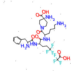 NCCCCC(NC(=O)C(CCC(F)(F)F)NC(=O)C(N)Cc1ccccc1)C(=O)N1CCC(N)(C(=O)O)CC1.O=C(O)C(F)(F)F